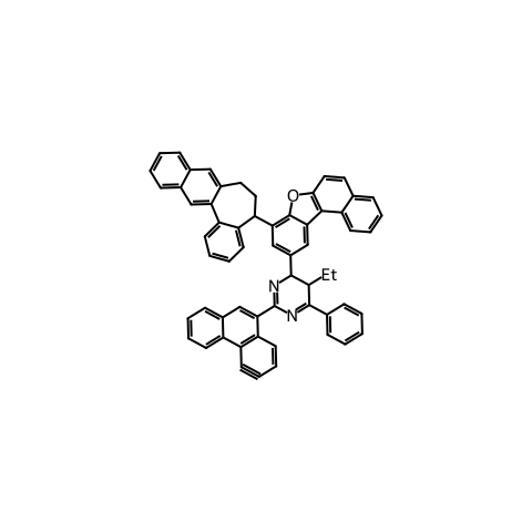 CCC1C(c2ccccc2)=NC(c2cc3ccccc3c3c#cccc23)=NC1c1cc(C2CCc3cc4ccccc4cc3-c3ccccc32)c2oc3ccc4ccccc4c3c2c1